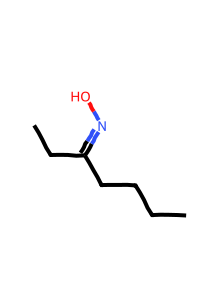 CCCCC(CC)=NO